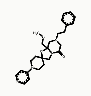 COCC12CN(CCc3ccccc3)CC(=O)N1CC1(CCN(c3ccncc3)CC1)O2